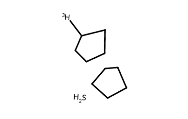 C1CCCC1.S.[3H]C1CCCC1